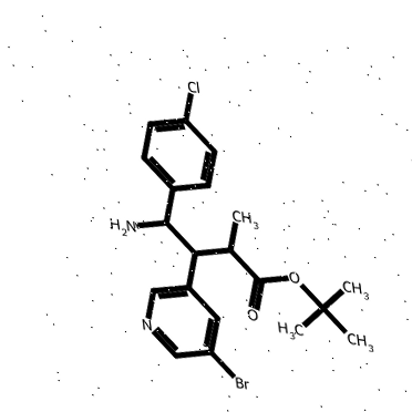 CC(C(=O)OC(C)(C)C)C(c1cncc(Br)c1)C(N)c1ccc(Cl)cc1